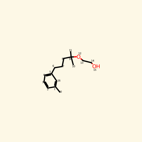 Cc1cccc(CCCC(C)(C)OCCO)c1